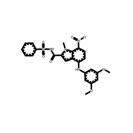 COc1cc(Nc2ccc([N+](=O)[O-])c3c2cc(C(=O)NS(=O)(=O)c2ccccc2)n3C)cc(OC)c1